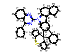 c1ccc(-c2nc(-n3c4cc5c(cc4c4c6ccccc6ccc43)-c3ccccc3C53c4ccccc4Sc4ccccc43)nc3ccccc23)cc1